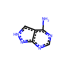 Nc1ncnc2n[nH][c]c12